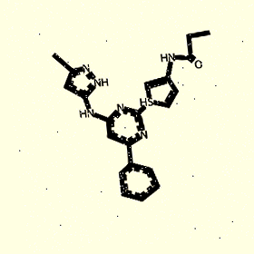 CCC(=O)NC1=C[SH](c2nc(Nc3cc(C)n[nH]3)cc(-c3ccccc3)n2)C=C1